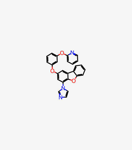 c1ccc(Oc2cccc(Oc3cc(-n4ccnc4)c4oc5ccccc5c4c3)c2)nc1